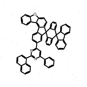 c1ccc(-c2cc(-c3ccc4c(c3)C3(c5ccccc5C5(c6ccccc6-c6ccccc65)c5ccccc53)c3ccc5oc6ccccc6c5c3-4)nc(-c3cccc4ccccc34)n2)cc1